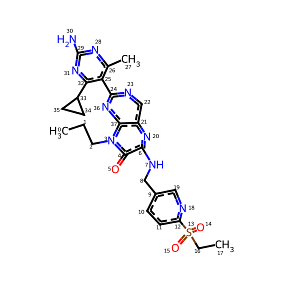 CCCn1c(=O)c(NCc2ccc(S(=O)(=O)CC)nc2)nc2cnc(-c3c(C)nc(N)nc3C3CC3)nc21